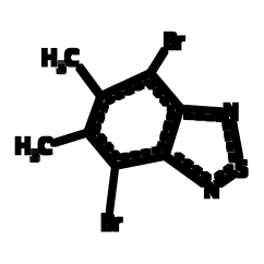 Cc1c(C)c(Br)c2nsnc2c1Br